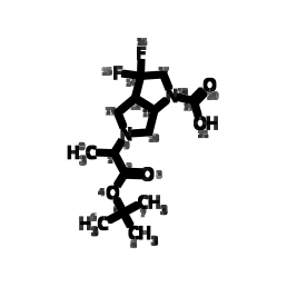 CC(C(=O)OC(C)(C)C)N1CC2C(C1)C(F)(F)CN2C(=O)O